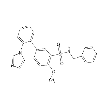 COc1ccc(-c2ccccc2-n2ccnc2)cc1S(=O)(=O)NCc1ccccc1